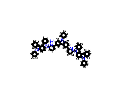 C1=CC(n2c3ccccc3c3c4c5ccccc5n(-c5ccccc5)c4ccc32)NC(c2ccc3c(c2)c2cc(-c4cccc(-n5c6ccccc6c6c7c8ccccc8n(-c8ccccc8)c7ccc65)n4)ccc2n3-c2ccccc2)=C1